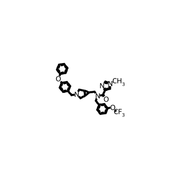 Cn1cnc(C(=O)N(Cc2cccc(OC(F)(F)F)c2)CC2C3CN(Cc4ccc(Oc5ccccc5)cc4)CC32)c1